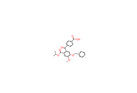 COc1cc(C(=O)OC(C)C)c(C(=O)c2ccc(C(=O)O)cc2)cc1OCc1ccccc1